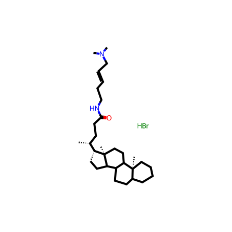 Br.C[C@H](CCC(=O)NCCC=CCN(C)C)[C@H]1CCC2C3CCC4CCCC[C@]4(C)C3CC[C@@]21C